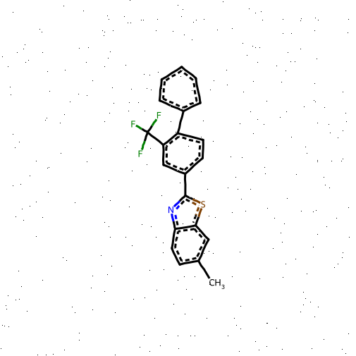 Cc1ccc2nc(-c3ccc(-c4ccccc4)c(C(F)(F)F)c3)sc2c1